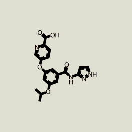 CC(C)Oc1cc(Oc2ccc(C(=O)O)nc2)cc(C(=O)Nc2cc[nH]n2)c1